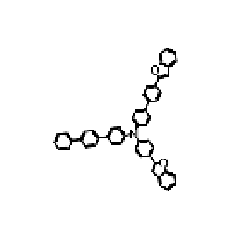 c1ccc(-c2ccc(-c3ccc(N(c4ccc(-c5ccc(-c6cc7ccccc7o6)cc5)cc4)c4ccc(-c5cc6ccccc6o5)cc4)cc3)cc2)cc1